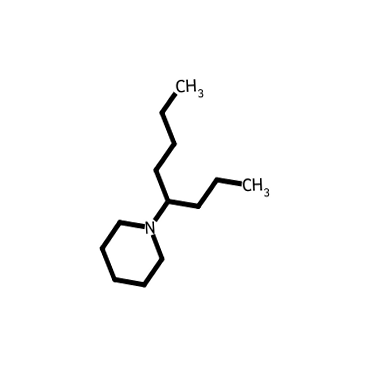 CCCCC(CCC)N1CCCCC1